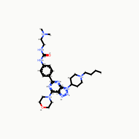 CCCCN1CCC(n2nnc3c(N4CCOCC4)nc(-c4ccc(NC(=O)NCCN(C)C)cc4)nc32)CC1